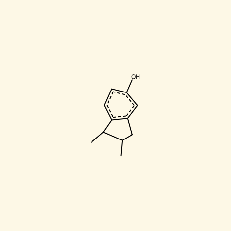 CC1Cc2cc(O)ccc2C1C